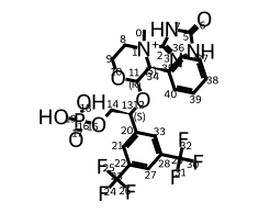 C[N+]1(c2n[nH]c(=O)[nH]2)CCO[C@H](O[C@H](COP(=O)(O)O)c2cc(C(F)(F)F)cc(C(F)(F)F)c2)[C@@H]1c1ccccc1